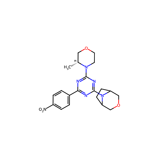 C[C@@H]1COCCN1c1nc(-c2ccc([N+](=O)[O-])cc2)nc(N2C3CCC2COC3)n1